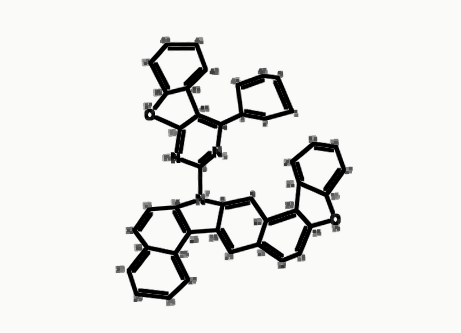 c1ccc(-c2nc(-n3c4cc5c(ccc6oc7ccccc7c65)cc4c4c5ccccc5ccc43)nc3oc4ccccc4c23)cc1